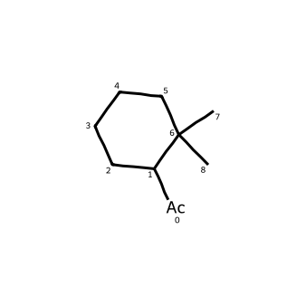 CC(=O)C1CCCCC1(C)C